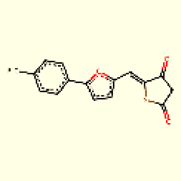 O=C1CC(=O)C(=Cc2ccc(-c3ccc(C(F)(F)F)cc3)o2)S1